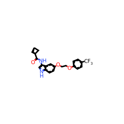 O=C(Nc1c[nH]c2ccc(OCCOc3ccc(C(F)(F)F)cc3)cc12)C12CC(C1)C2